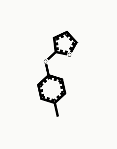 Cc1ccc(Oc2cc[c]o2)cc1